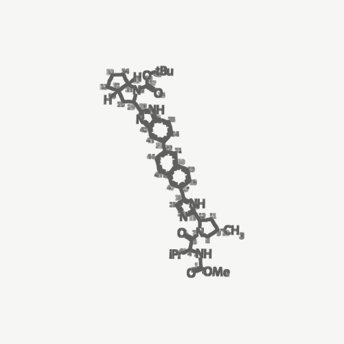 COC(=O)NC(C(=O)N1C[C@@H](C)CC1c1ncc(-c2ccc3cc(-c4ccc5[nH]c(C6C[C@@H]7CCC[C@@H]7N6C(=O)OC(C)(C)C)nc5c4)ccc3c2)[nH]1)C(C)C